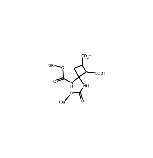 CC(C)(C)OC(=O)NC1(NC(=O)OC(C)(C)C)CC(C(=O)O)C1C(=O)O